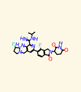 CC(C)NC(=N)c1nc(-c2ccc3c(c2F)CN(C2CCC(=O)NC2=O)C3=O)cc(CN2CCC(F)C2)c1N